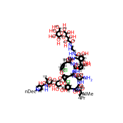 CCCCCCCCCC[n+]1ccc(CN[C@]2(C)C[C@H](OC3C(O)[C@@H](O)[C@@H](CO)O[C@@H]3Oc3c4cc5cc3Oc3ccc(cc3Cl)[C@@H](O)[C@@H](NC(=O)[C@@H](CC(C)C)NC)C(=O)N[C@@H](CC(N)=O)C(=O)N[C@H]5C(=O)N[C@H]3C(=O)N[C@H](C(=O)N[C@H](C(=O)NCCCNC(=O)[C@H](O)[C@@H](O)[C@H](OC5OC(CO)C(O)C(O)C5O)[C@H](O)CO)c5cc(O)cc(O)c5-c5cc3ccc5O)[C@H](O)c3ccc(c(Cl)c3)O4)OC(C)[C@@H]2O)cc1